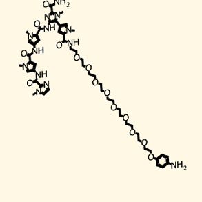 Cn1cc(-c2c(NC(=O)c3cc(NC(=O)c4cc(NC(=O)c5nccn5C)cn4C)cn3C)nc(C(N)=O)n2C)cc1C(=O)NCCOCCOCCOCCOCCOCCOCCOCCOCCOc1ccc(N)cc1